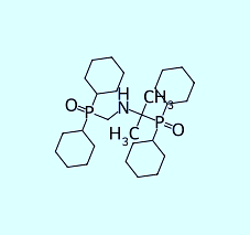 CC(C)(NCP(=O)(C1CCCCC1)C1CCCCC1)P(=O)(C1CCCCC1)C1CCCCC1